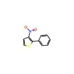 O=[N+]([O-])c1ccsc1-c1ccccc1